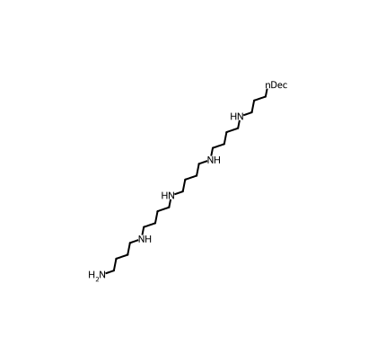 CCCCCCCCCCCCCNCCCCNCCCCNCCCCNCCCCN